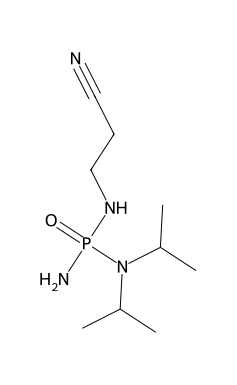 CC(C)N(C(C)C)P(N)(=O)NCCC#N